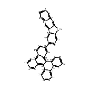 c1ccc2cc3c(cc2c1)oc1ccc(-c2ccc4c5ccccc5c5c6ccccc6c6ccccc6c5c4c2)cc13